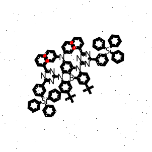 CC(C)(C)c1ccc2c(c1)B1c3cc(C(C)(C)C)ccc3N(c3nc(-c4ccccc4)nc(-c4cccc([Si](c5ccccc5)(c5ccccc5)c5ccccc5)c4)n3)c3cc(N(c4ccccc4)c4ccccc4)cc(c31)N2c1nc(-c2ccccc2)nc(-c2cccc([Si](c3ccccc3)(c3ccccc3)c3ccccc3)c2)n1